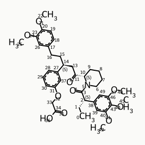 CC[C@H](C(=O)N1CCCC[C@H]1C(=O)C[C@H](CCc1ccc(OC)c(OC)c1)c1cccc(OCC(=O)O)c1)c1cc(OC)c(OC)c(OC)c1